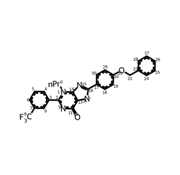 CCCn1c(-c2cccc(C(F)(F)F)c2)nc(=O)c2c1N=C(c1ccc(OCc3ccccc3)cc1)[N]2